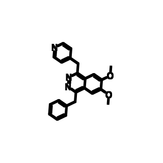 COc1cc2c(Cc3ccccc3)nnc(Cc3ccncc3)c2cc1OC